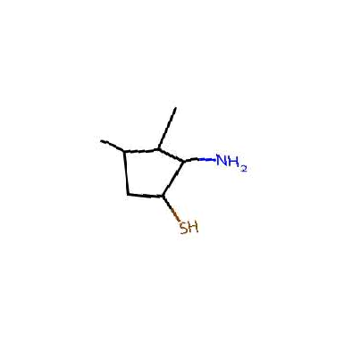 CC1CC(S)C(N)C1C